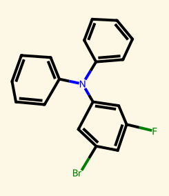 Fc1cc(Br)cc(N(c2ccccc2)c2ccccc2)c1